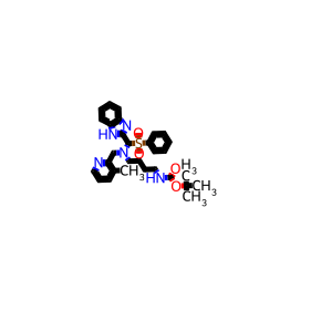 Cc1cccnc1CN(CCCCNC(=O)OC(C)(C)C)C(c1nc2ccccc2[nH]1)S(=O)(=O)c1ccccc1